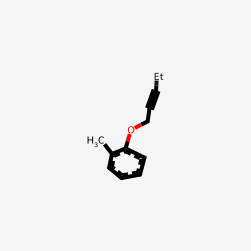 CCC#CCOc1ccccc1C